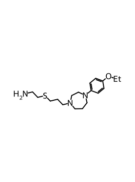 CCOc1ccc(N2CCCN(CCCSCCN)CC2)cc1